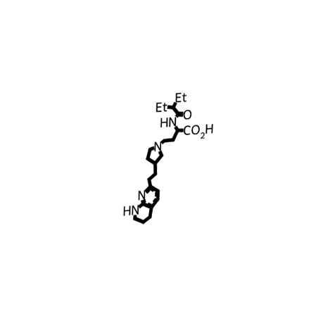 CCC(CC)C(=O)NC(CCN1CCC(CCc2ccc3c(n2)NCCC3)C1)C(=O)O